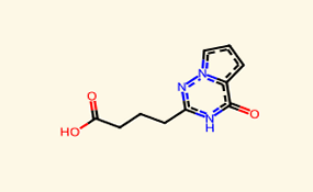 O=C(O)CCCc1nn2cccc2c(=O)[nH]1